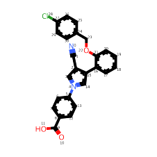 N#Cc1cn(-c2ccc(C(=O)O)cc2)cc1-c1ccccc1OCc1ccc(Cl)cc1